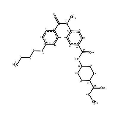 CCCCOc1ccc(C(=O)N(C)c2ccc(C(=O)OC3CCC(C(=O)OC)CC3)cc2)cc1